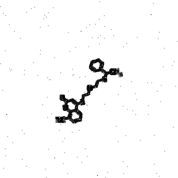 CC(SCCOCCSc1cc(=O)oc2c(C#N)cccc12)c1ccccc1